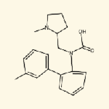 Cc1cccc(-c2ccccc2N(CC2CCCN2C)C(=O)O)c1